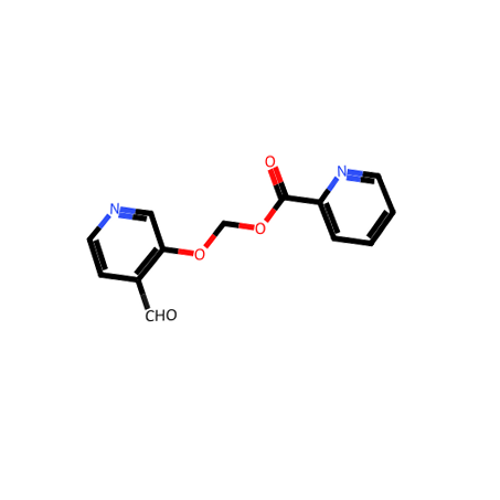 O=Cc1ccncc1OCOC(=O)c1ccccn1